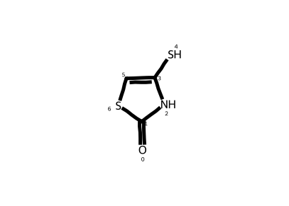 O=c1[nH]c(S)cs1